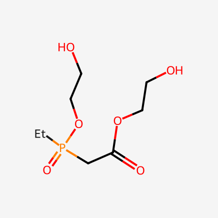 CCP(=O)(CC(=O)OCCO)OCCO